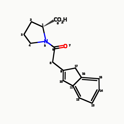 O=C(O)[C@H]1CCCN1C(=O)CC1=Cc2ccccc2C1